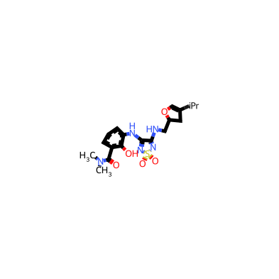 CC(C)C1=COC(CNC2=NS(=O)(=O)N=C2Nc2cccc(C(=O)N(C)C)c2O)C1